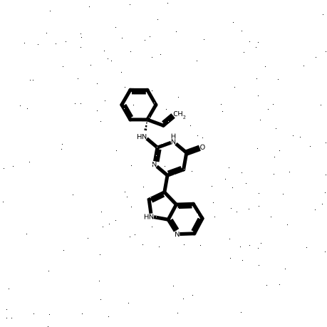 C=C[C@@]1(Nc2nc(-c3c[nH]c4ncccc34)cc(=O)[nH]2)C=CC=CC1